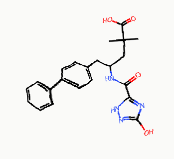 CC(C)(CC(Cc1ccc(-c2ccccc2)cc1)NC(=O)c1nc(O)n[nH]1)C(=O)O